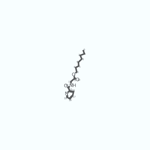 CCCCCCCCOC(=O)CNC(=O)c1ccccn1